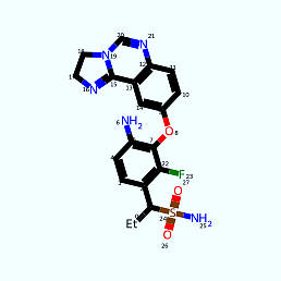 CCC(c1ccc(N)c(Oc2ccc3c(c2)C2=NCCN2C=N3)c1F)S(N)(=O)=O